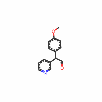 COc1ccc(C(C=O)c2cccnc2)cc1